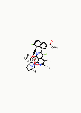 COC(=O)c1cc(-c2nc3c4c(nc(C)c(C(F)(F)F)c4c2F)N2C[C@H]4CC[C@@H]([C@H]2[C@H](C)O3)N4C(=O)OC(C)(C)C)c2c(C#C[Si](C(C)C)(C(C)C)C(C)C)c(F)ccc2c1